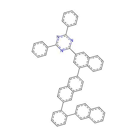 c1ccc(-c2nc(-c3ccccc3)nc(-c3cc(-c4ccc5cc(-c6ccccc6-c6ccc7ccccc7c6)ccc5c4)c4ccccc4c3)n2)cc1